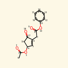 CC(=O)OC1C=C(CC(=O)Oc2ccccc2)C(=O)C1